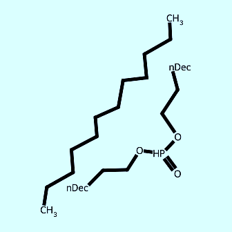 CCCCCCCCCCCC.CCCCCCCCCCCCO[PH](=O)OCCCCCCCCCCCC